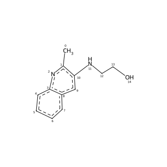 Cc1nc2ccccc2cc1NCCO